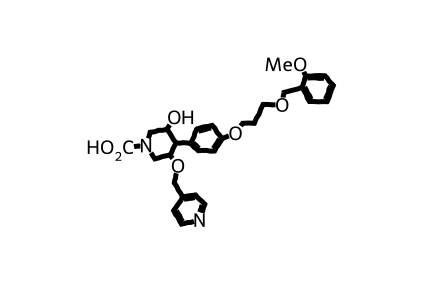 COc1ccccc1COCCCOc1ccc(C2C(O)CN(C(=O)O)CC2OCc2ccncc2)cc1